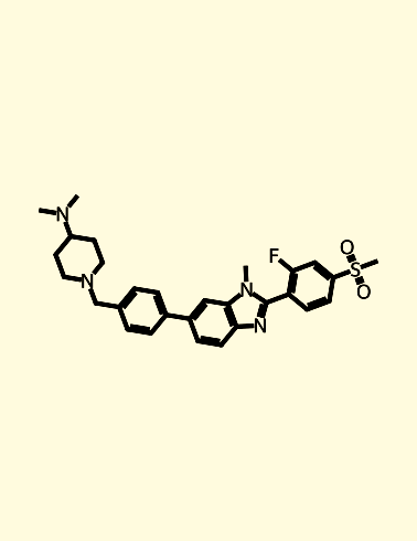 CN(C)C1CCN(Cc2ccc(-c3ccc4nc(-c5ccc(S(C)(=O)=O)cc5F)n(C)c4c3)cc2)CC1